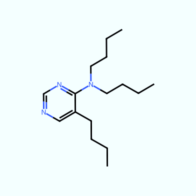 CCCCc1cncnc1N(CCCC)CCCC